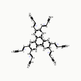 N#C/C=C/c1nc2c3nc(/C=C/C#N)c(/C=C/C#N)nc3c3nc(/C=C/C#N)c(/C=C/C#N)nc3c2nc1/C=C/C#N